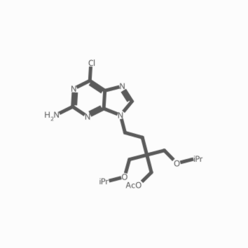 CC(=O)OCC(CCn1cnc2c(Cl)nc(N)nc21)(COC(C)C)COC(C)C